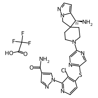 NC(=O)c1cnn(-c2nccc(Sc3cnc(N4CCC5(CC4)Cn4nccc4[C@H]5N)cn3)c2Cl)c1.O=C(O)C(F)(F)F